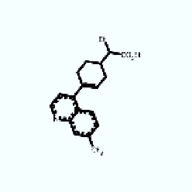 CCOC(=O)C(CC)C1CC=C(c2ccnc3cc(C(F)(F)F)ccc23)CC1